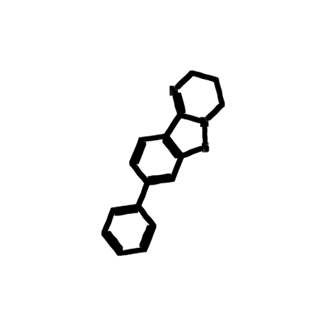 c1ccc(-c2ccc3c(c2)SN2CCCN=C32)cc1